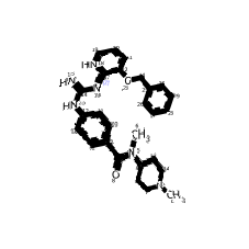 CN1CCC(N(C)C(=O)c2ccc(NC(=N)/N=c3\[nH]cccc3OCc3ccccc3)cc2)CC1